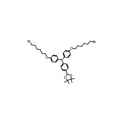 CC1(C)OB(c2ccc(N(c3ccc(OCCCCCCBr)cc3)c3ccc(OCCCCCCBr)cc3)cc2)OC1(C)C